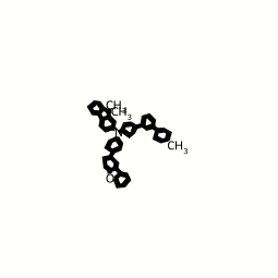 Cc1ccc(-c2cccc(-c3ccc(N(c4ccc(-c5ccc6oc7ccccc7c6c5)cc4)c4ccc5c(c4)C(C)(C)c4ccccc4-5)cc3)c2)cc1